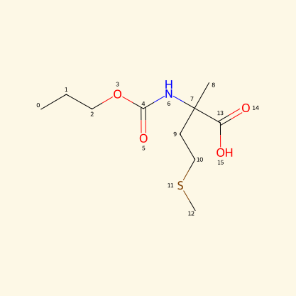 CCCOC(=O)NC(C)(CCSC)C(=O)O